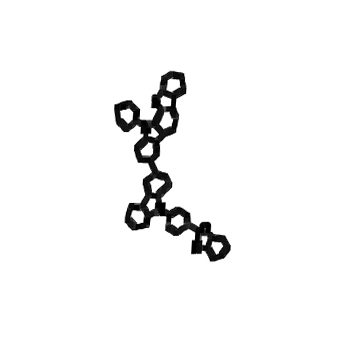 c1ccc(-n2c3ccc(-c4ccc5c(c4)c4ccccc4n5-c4ccc(-c5nc6ccccc6o5)cc4)cc3c3ccc4c5ccccc5sc4c32)cc1